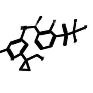 Cc1cc(N[C@H](C)c2cccc(S(=O)(=O)C(F)(F)F)c2F)cc(C2(CF)CC2)n1